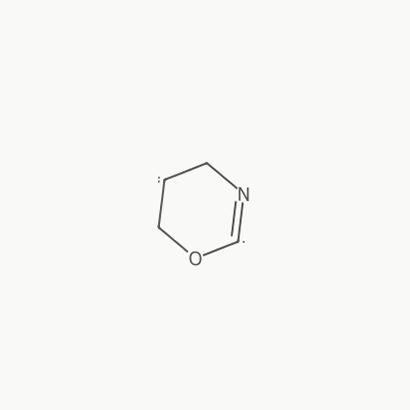 [C]1CN=[C]OC1